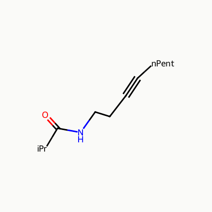 CCCCCC#CCCNC(=O)C(C)C